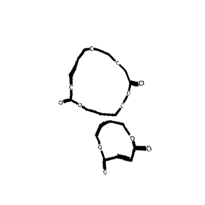 O=C1/C=C/C(=O)OCCCCO1.O=C1CCCCCCCCC(=O)OCCCCO1